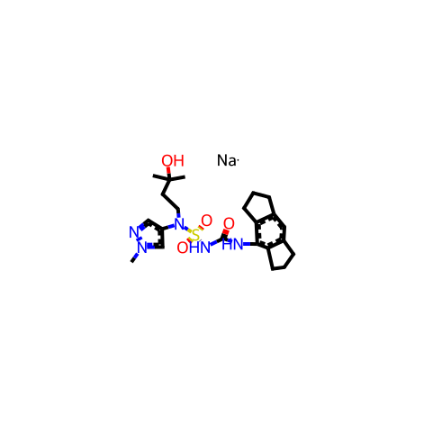 Cn1cc(N(CCC(C)(C)O)S(=O)(=O)NC(=O)Nc2c3c(cc4c2CCC4)CCC3)cn1.[Na]